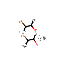 CC([O-])C(C)S.CC([O-])C(C)S.[Na+].[Na+]